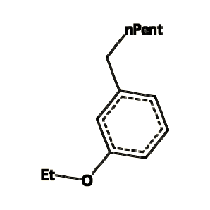 CCCCCCc1cccc(OCC)c1